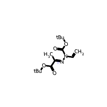 C=CN(/N=C(\C)C(=O)OC(C)(C)C)C(=O)OC(C)(C)C